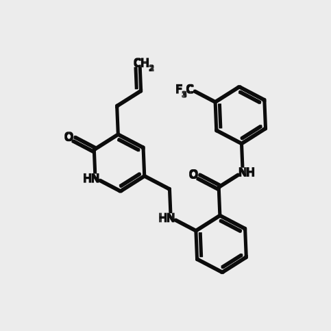 C=CCc1cc(CNc2ccccc2C(=O)Nc2cccc(C(F)(F)F)c2)c[nH]c1=O